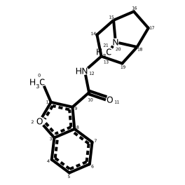 Cc1oc2ccccc2c1C(=O)NC1CC2CCC(C1)N2C